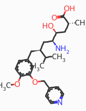 COc1ccc(C[C@@H](C[C@H](N)[C@@H](O)C[C@@H](C)C(=O)O)C(C)C)cc1OCc1ccncc1